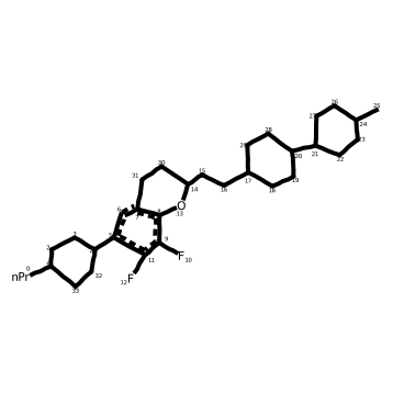 CCCC1CCC(c2cc3c(c(F)c2F)OC(CCC2CCC(C4CCC(C)CC4)CC2)CC3)CC1